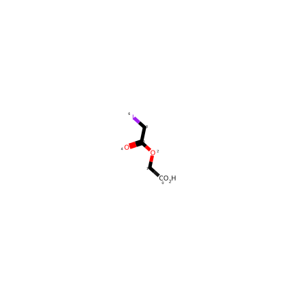 O=C(O)COC(=O)CI